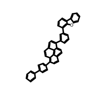 c1ccc(-c2ccc(-c3ccc4ccc5c(-c6cccc(-c7cccc8c7oc7ccccc78)c6)ccc6ccc3c4c65)cc2)cc1